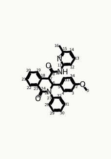 COc1ccc(C2C(C(=O)Nc3cccc(C)n3)c3ccccc3C(=O)N2c2ccccc2)cc1